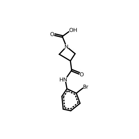 O=C(Nc1ccccc1Br)C1CN(C(=O)O)C1